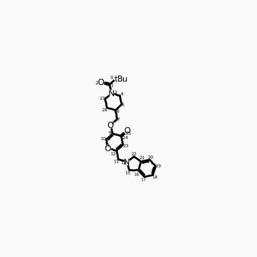 CC(C)(C)C(=O)N1CCC(COc2coc(CN3Cc4ccccc4C3)cc2=O)CC1